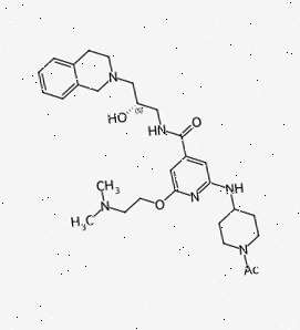 CC(=O)N1CCC(Nc2cc(C(=O)NC[C@H](O)CN3CCc4ccccc4C3)cc(OCCN(C)C)n2)CC1